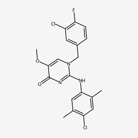 COc1cn(Cc2ccc(F)c(Cl)c2)c(Nc2cc(C)c(Cl)cc2C)nc1=O